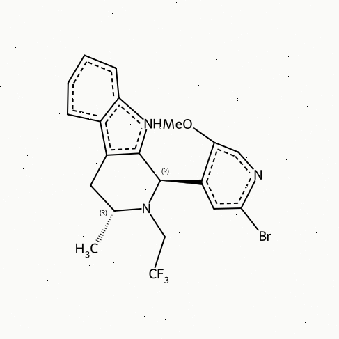 COc1cnc(Br)cc1[C@@H]1c2[nH]c3ccccc3c2C[C@@H](C)N1CC(F)(F)F